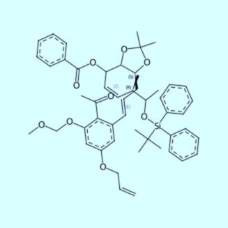 C=CCOc1cc(/C=C/C[C@@H]2OC(C)(C)OC2C(/C=C\[C@@H](C)C(C)O[Si](c2ccccc2)(c2ccccc2)C(C)(C)C)OC(=O)c2ccccc2)c(C(C)=O)c(OCOC)c1